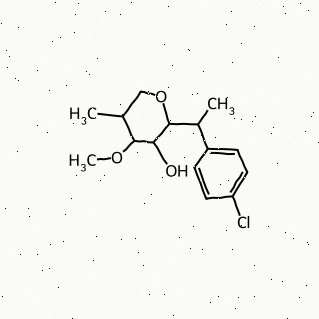 COC1C(C)COC(C(C)c2ccc(Cl)cc2)C1O